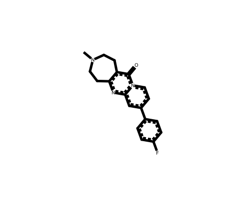 CN1CCc2nc3cc(-c4ccc(F)cc4)ccn3c(=O)c2CC1